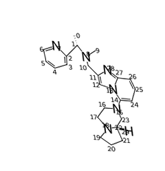 C[C@@H](c1ccccn1)N(C)Cc1cn2c(N3CCN4CCC[C@H]4C3)cccc2n1